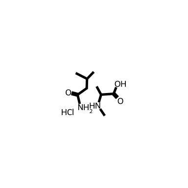 CC(C)CC(N)=O.CNC(C)C(=O)O.Cl